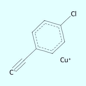 [C-]#Cc1ccc(Cl)cc1.[Cu+]